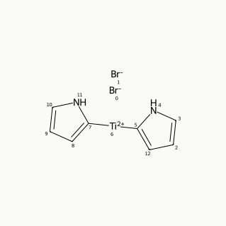 [Br-].[Br-].c1c[nH][c]([Ti+2][c]2ccc[nH]2)c1